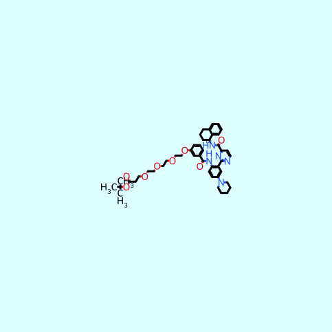 CC(C)(C)OC(=O)CCOCCOCCOCCOc1cccc(C(=O)Nc2ccc(N3CCCCC3)cc2-c2nccc(C(=O)N[C@H]3CCCc4ccccc43)n2)c1